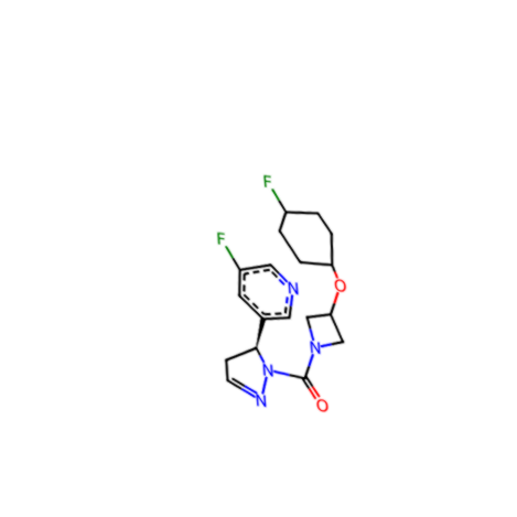 O=C(N1CC(OC2CCC(F)CC2)C1)N1N=CC[C@H]1c1cncc(F)c1